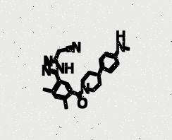 CNc1ccc(C2CCN(C(=O)c3cc(-c4nnc(CC#N)[nH]4)c(C)cc3C)CC2)cc1